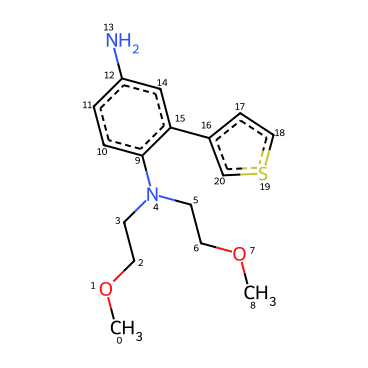 COCCN(CCOC)c1ccc(N)cc1-c1ccsc1